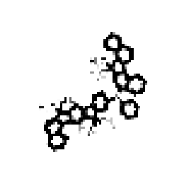 CC1(C)c2cc(N(c3ccccc3)c3cc4c(c5ccccc35)-c3ccc5ccccc5c3C4(C)C)ccc2-c2cc3c(cc21)-c1c(ccc2ccccc12)C3(C)C